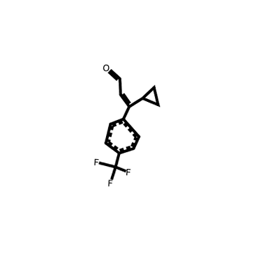 O=CC=C(c1ccc(C(F)(F)F)cc1)C1CC1